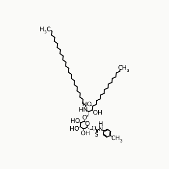 CCCCCCCCCCCCCCCCCCCCCCCCCCN[C@@H](CO[C@@H]1O[C@H](COC(=S)Nc2ccc(C)cc2)[C@H](O)[C@H](O)[C@H]1O)[C@H](O)[C@H](O)CCCCCCCCCCCCCC